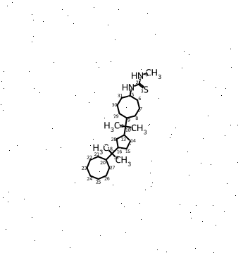 CNC(=S)NC1CCCC(C(C)(C)C2CCC(C(C)(C)C3CCCCCCC3)C2)CCC1